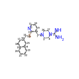 N=C(N)N1CCN(Cc2cccnc2SCc2ccc3ccccc3c2)CC1